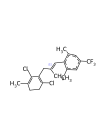 CC1=C(Cl)C(C/C(C)=C/c2c(C)cc(C(F)(F)F)cc2C)=C(Cl)CC1